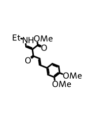 CCNC=C(C(=O)C=Cc1ccc(OC)c(OC)c1)C(=O)OC